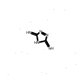 N=C1N=NC(=N)N1